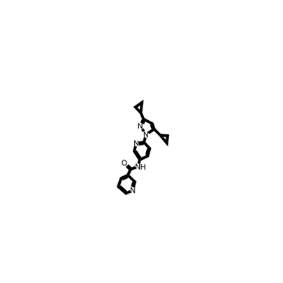 O=C(Nc1ccc(-n2nc(C3CC3)cc2C2CC2)nc1)c1cccnc1